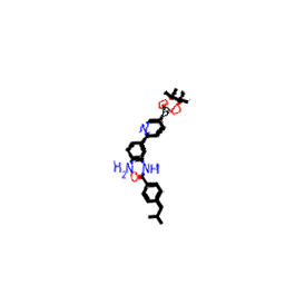 CC(C)Cc1ccc(C(=O)Nc2cc(-c3ccc(B4OC(C)(C)C(C)(C)O4)cn3)ccc2N)cc1